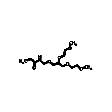 CCC(=O)NCOCC(COCCOC)OCCOC